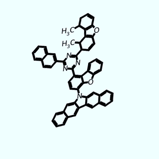 CC1CC=Cc2oc3c(c21)C(C)C(c1nc(-c2ccc4ccccc4c2)nc(-c2ccc(-n4c5cc6ccccc6cc5c5cc6ccccc6cc54)c4oc5ccccc5c24)n1)C=C3